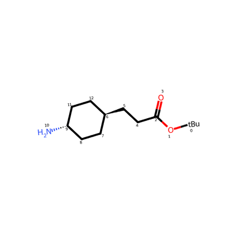 CC(C)(C)OC(=O)CC[C@H]1CC[C@H](N)CC1